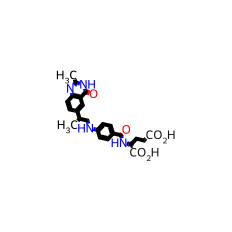 Cc1nc2ccc(C(C)CNc3ccc(C(=O)N[C@@H](CCC(=O)O)C(=O)O)cc3)cc2c(=O)[nH]1